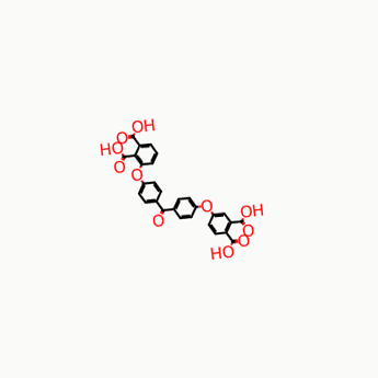 O=C(c1ccc(Oc2ccc(C(=O)O)c(C(=O)O)c2)cc1)c1ccc(Oc2cccc(C(=O)O)c2C(=O)O)cc1